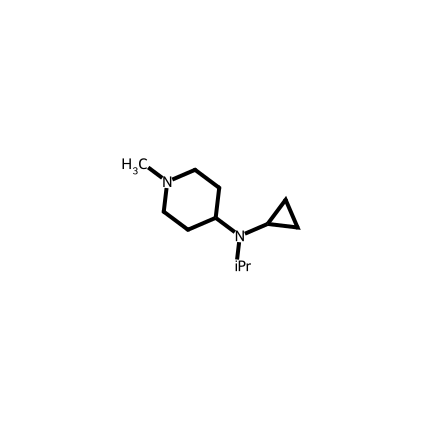 CC(C)N(C1CC1)C1CCN(C)CC1